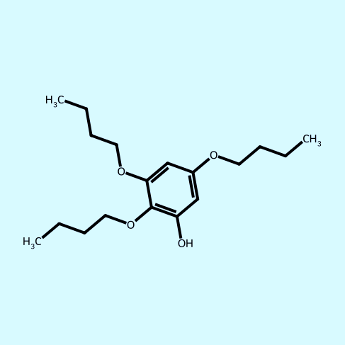 CCCCOc1cc(O)c(OCCCC)c(OCCCC)c1